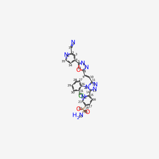 N#Cc1cc(-c2nnc(/C=C/c3nnc(-c4ccc(S(N)(=O)=O)cn4)n3-c3ccccc3Cl)o2)ccn1